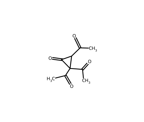 CC(=O)C1C(=O)C1(C(C)=O)C(C)=O